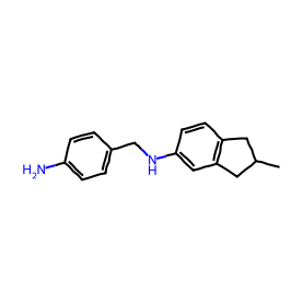 CC1Cc2ccc(NCc3ccc(N)cc3)cc2C1